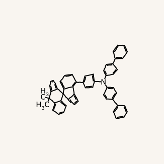 CC1(C)c2ccccc2C2(c3ccccc3-c3c(-c4ccc(N(c5ccc(-c6ccccc6)cc5)c5ccc(-c6ccccc6)cc5)cc4)cccc32)c2ccccc21